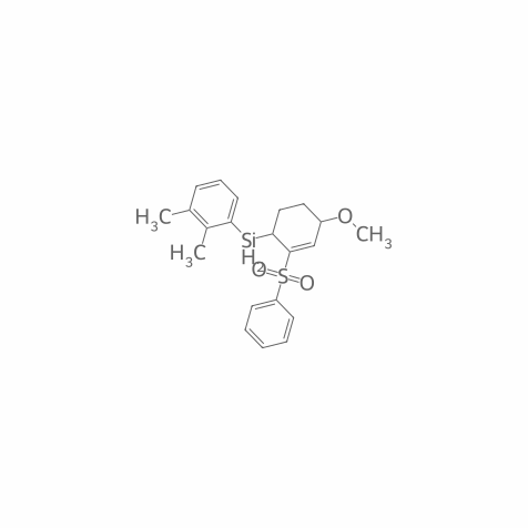 COC1C=C(S(=O)(=O)c2ccccc2)C([SiH2]c2cccc(C)c2C)CC1